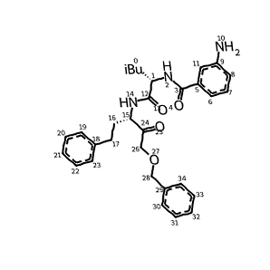 CCC(C)[C@H](NC(=O)c1cccc(N)c1)C(=O)N[C@@H](CCc1ccccc1)C(=O)COCc1ccccc1